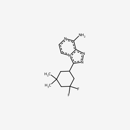 CC1(C)CC(c2nnc3c(N)nccn23)CC(F)(F)C1